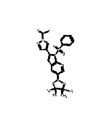 CC1(C)OB(c2cnc3c(c2)cc(-c2cnn(C(F)F)c2)n3S(=O)(=O)c2ccccc2)OC1(C)C